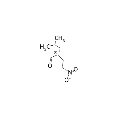 CC(C)C[C@@H](C=O)CC[N+](=O)[O-]